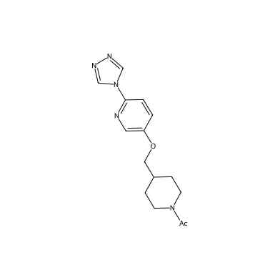 CC(=O)N1CCC(COc2ccc(-n3cnnc3)nc2)CC1